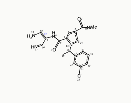 CNC(=O)c1cc(C(=O)N/C(C=N)=C/N)n(C(C)c2cccc(Cl)c2)n1